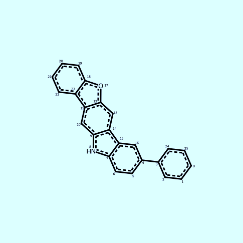 c1ccc(-c2ccc3[nH]c4cc5c(cc4c3c2)oc2ccccc25)cc1